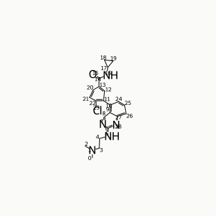 CN(C)CCNc1ncc2c(-c3cc(C(=O)NC4CC4)ccc3Cl)cccc2n1